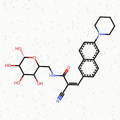 N#CC(=Cc1ccc2cc(N3CCCCC3)ccc2c1)C(=O)NCC1O[C@@H](O)C(O)C(O)C1O